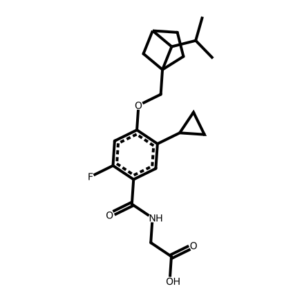 CC(C)C1C2CCC1(COc1cc(F)c(C(=O)NCC(=O)O)cc1C1CC1)C2